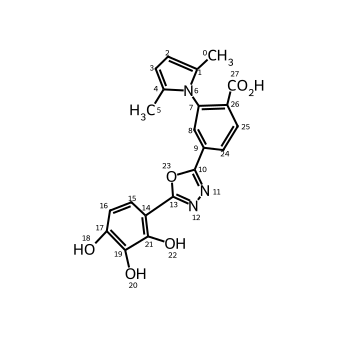 Cc1ccc(C)n1-c1cc(-c2nnc(-c3ccc(O)c(O)c3O)o2)ccc1C(=O)O